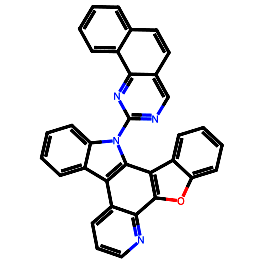 c1ccc2c(c1)ccc1cnc(-n3c4ccccc4c4c5cccnc5c5oc6ccccc6c5c43)nc12